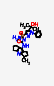 CC1CCc2c1nc1c(c2NC(=O)N=[S@](N)(=O)c2cc(C(C)(C)O)n(-c3ccccc3)n2)CCC1